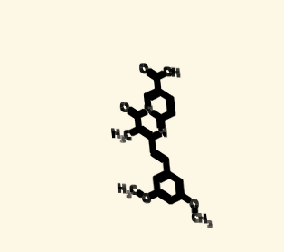 COc1cc(C=Cc2nc3ccc(C(=O)O)cn3c(=O)c2C)cc(OC)c1